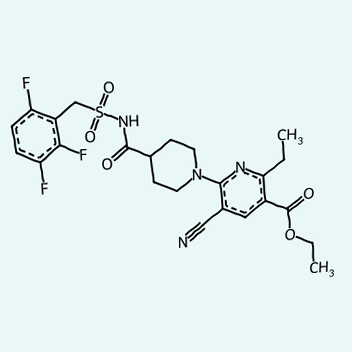 CCOC(=O)c1cc(C#N)c(N2CCC(C(=O)NS(=O)(=O)Cc3c(F)ccc(F)c3F)CC2)nc1CC